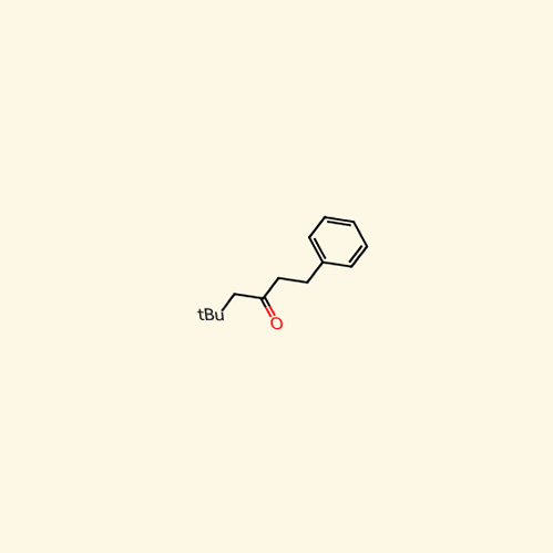 CC(C)(C)CC(=O)CCc1ccccc1